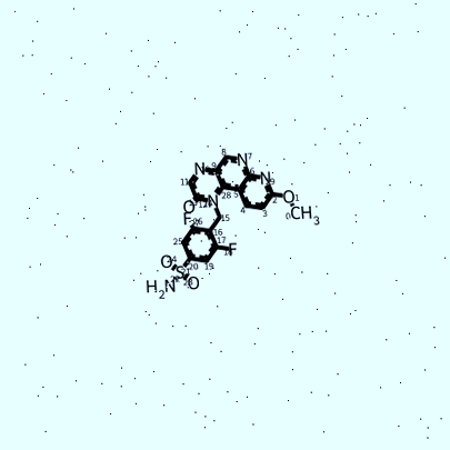 COc1ccc2c(ncc3ncc(=O)n(Cc4c(F)cc(S(N)(=O)=O)cc4F)c32)n1